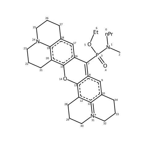 CCCN(C)P(=O)(OCC)C1=c2cc3c4c(c2Oc2c1cc1c5c2CCCN5CCC1)CCC[N+]=4CCC3